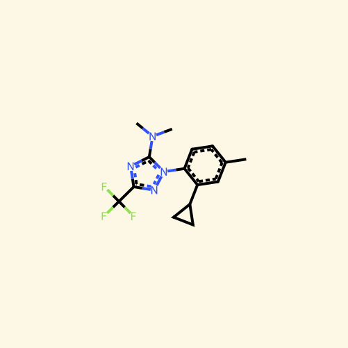 Cc1ccc(-n2nc(C(F)(F)F)nc2N(C)C)c(C2CC2)c1